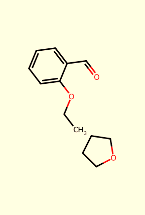 C1CCOC1.CCOc1ccccc1C=O